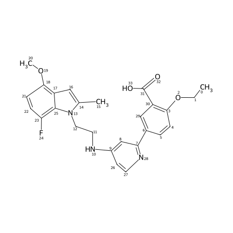 CCOc1ccc(-c2cc(NCCn3c(C)cc4c(OC)ccc(F)c43)ccn2)cc1C(=O)O